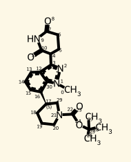 Cn1nc(C2CCC(=O)NC2=O)c2cccc([C@@H]3CCCN(C(=O)OC(C)(C)C)C3)c21